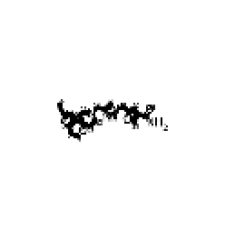 CCc1cc2c(s1)CCOC21CCN(Cc2cn(Cc3cc(C(N)=O)co3)nn2)CC1